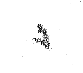 O=C(c1cc(-c2ccc(Cl)cc2)nc2cc(Cl)c(F)cc12)N1CCC(N2CCC[C@@H](C(=O)N3CCOCC3)C2)CC1